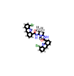 CCC(NC(=O)c1cccc2cc3cccc(Br)c3nc12)N(C)C(CC)NC(=O)c1cccc2cc3cccc(Br)c3nc12